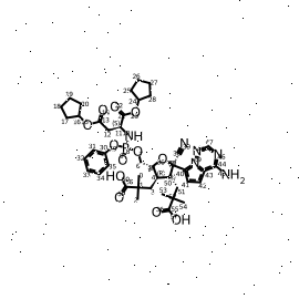 CC(C)(C[C@H]1[C@H](COP(=O)(N[C@@H](CC(=O)OC2CCCC2)C(=O)OC2CCCC2)Oc2ccccc2)O[C@@](C#N)(c2ccc3c(N)ncnn23)[C@@H]1CC(C)(C)C(=O)O)C(=O)O